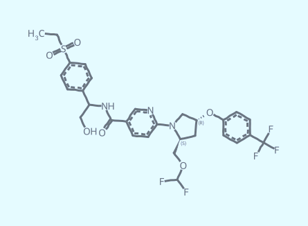 CCS(=O)(=O)c1ccc(C(CO)NC(=O)c2ccc(N3C[C@H](Oc4ccc(C(F)(F)F)cc4)C[C@H]3COC(F)F)nc2)cc1